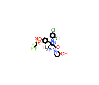 Cc1c(C(=O)NN2CCCC(O)C2)nn(-c2ccc(Cl)cc2Cl)c1-c1ccc(OS(=O)(=O)CCC(F)(F)F)cc1